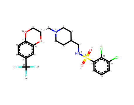 O=S(=O)(NCC1CCN(C[C@H]2COc3ccc(C(F)(F)F)cc3O2)CC1)c1cccc(Cl)c1Cl